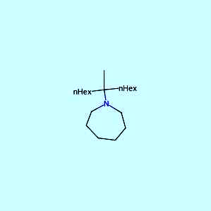 CCCCCCC(C)(CCCCCC)N1CCCCCC1